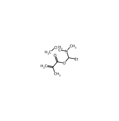 C=C(C)C(=O)OC(CC)N(C)C.CCl